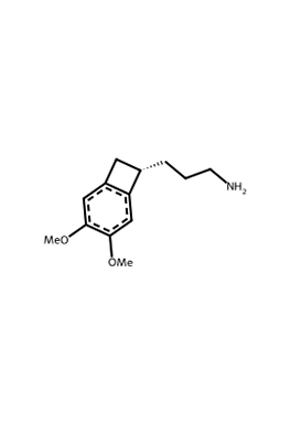 COc1cc2c(cc1OC)[C@@H](CCCN)C2